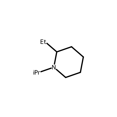 [CH2]CC1CCCCN1C(C)C